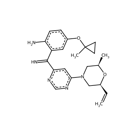 C=C[C@H]1CN(c2cc(C(=N)c3cc(OC4(C)CC4)ccc3N)ncn2)C[C@@H](C)O1